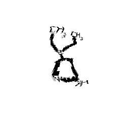 [2H]c1cncc(B(CC)CC)c1